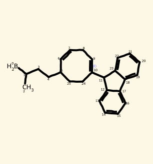 BC(C)CCC1C=CC/C=C(/C2c3ccccc3-c3ccccc32)CC1